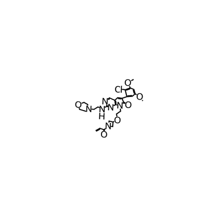 C=CC(=O)N1CC(OCCn2c(=O)c(-c3cc(OC)cc(OC)c3Cl)cc3cnc(NCCN4CCOCC4)nc32)C1